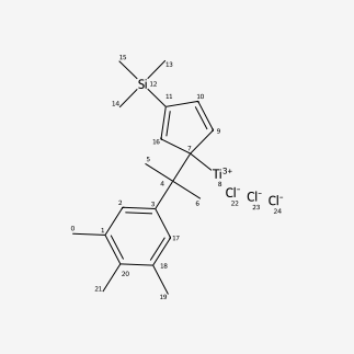 Cc1cc(C(C)(C)[C]2([Ti+3])C=CC([Si](C)(C)C)=C2)cc(C)c1C.[Cl-].[Cl-].[Cl-]